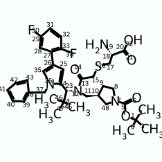 CC(C)(C)OC(=O)N1CC[C@H](CN(C(=O)CSC[C@H](N)C(=O)O)[C@@H](c2cc(-c3cc(F)ccc3F)cn2Cc2ccccc2)C(C)(C)C)C1